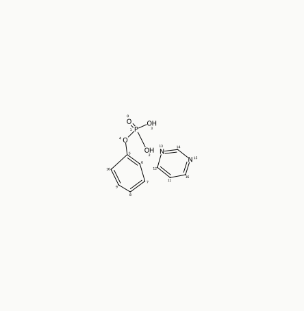 O=P(O)(O)Oc1ccccc1.c1cncnc1